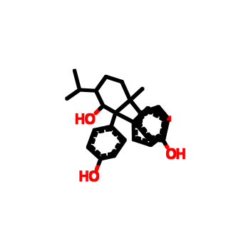 CC(C)C1CCC(C)(c2ccc(O)cc2)C(c2ccccc2)(c2ccc(O)cc2)C1O